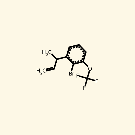 [CH2]C(C=C)c1cccc(OC(F)(F)F)c1Br